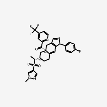 CC([C@H]1CCC2=Cc3c(cnn3-c3ccc(F)cc3)C[C@]2(C(=O)c2cc(C(F)(F)F)ccn2)C1)S(=O)(=O)c1cnn(C)c1